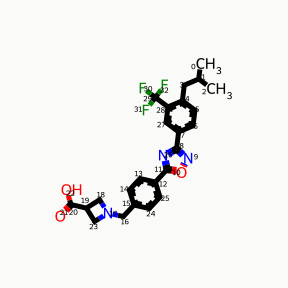 CC(C)Cc1ccc(-c2noc(-c3ccc(CN4CC(C(=O)O)C4)cc3)n2)cc1C(F)(F)F